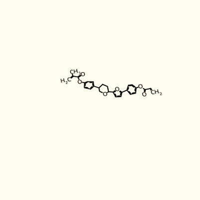 C=CC(=O)Oc1ccc(-c2ccc(C3CCC(c4ccc(OC(=O)C(=C)C)cc4)CO3)o2)cc1